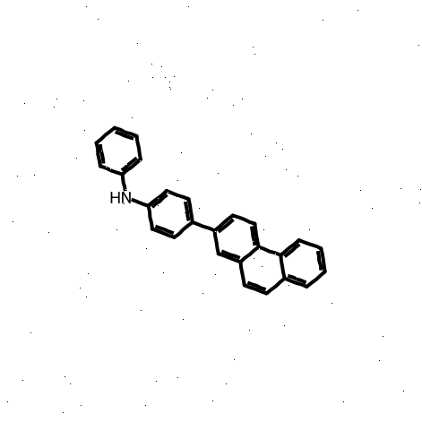 c1ccc(Nc2ccc(-c3ccc4c(ccc5ccccc54)c3)cc2)cc1